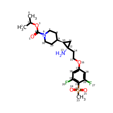 CC(C)OC(=O)N1CCC([C@H]2C[C@@]2(N)CCOc2cc(F)c(S(C)(=O)=O)c(F)c2)CC1